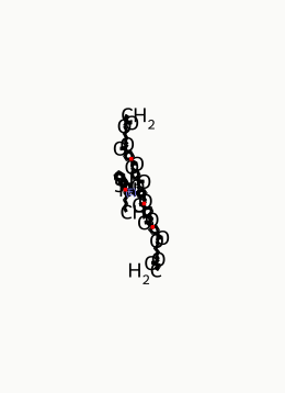 C=CC(=O)OCCCCOC(=O)C1CCC(C(=O)OC2CCC(C(=O)Oc3ccc(OC(=O)C4CCC(OC(=O)C5CCC(C(=O)OCCCCOC(=O)C=C)CC5)CC4)c(/C=N/N(CCCCCC)c4nc5ccccc5s4)c3)CC2)CC1